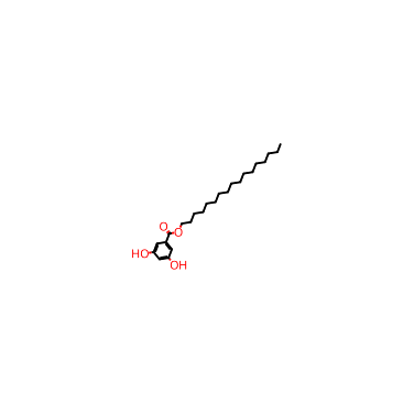 CCCCCCCCCCCCCCCCCOC(=O)c1cc(O)cc(O)c1